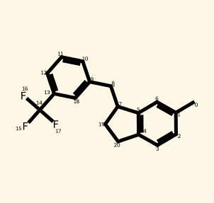 Cc1ccc2c(c1)C([CH]c1cccc(C(F)(F)F)c1)CC2